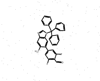 Cc1cc2ncn(C(c3ccccc3)(c3ccccc3)c3ccccc3)c2cc1-c1cc(F)c(C=O)c(F)c1